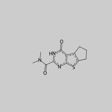 CN(C)C(=O)c1nc2sc3c(c2c(=O)[nH]1)CCC3